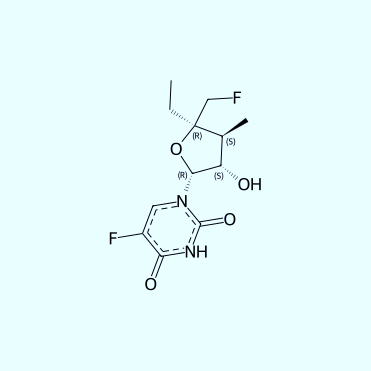 CC[C@@]1(CF)O[C@@H](n2cc(F)c(=O)[nH]c2=O)[C@@H](O)[C@@H]1C